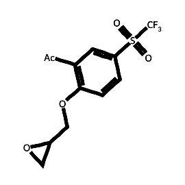 CC(=O)c1cc(S(=O)(=O)C(F)(F)F)ccc1OCC1CO1